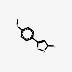 COc1ccc(C2=CC([S])SS2)cc1